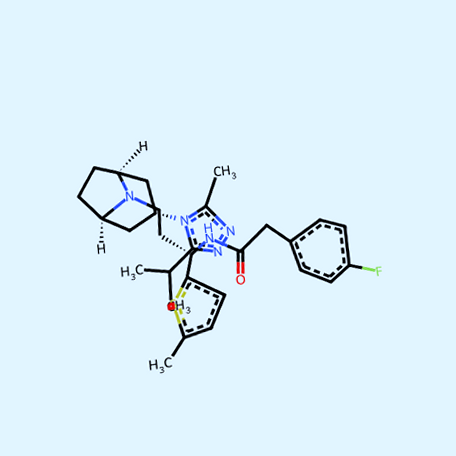 Cc1ccc([C@H](CCN2[C@@H]3CC[C@H]2C[C@H](n2c(C)nnc2C(C)C)C3)NC(=O)Cc2ccc(F)cc2)s1